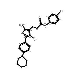 Cc1nn(-c2ccc(C3CCCCC3)cc2)c(C)c1SCC(=O)Nc1ccc(F)cc1